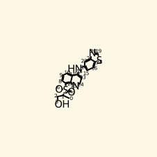 CC(CO)S(=O)(=O)c1cccc2c(Nc3ccc4scnc4c3)ccnc12